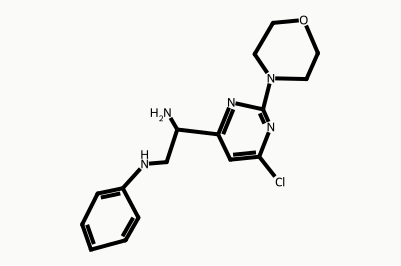 NC(CNc1ccccc1)c1cc(Cl)nc(N2CCOCC2)n1